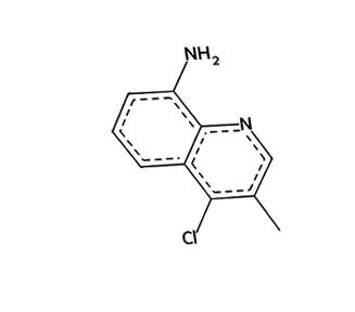 Cc1cnc2c(N)cccc2c1Cl